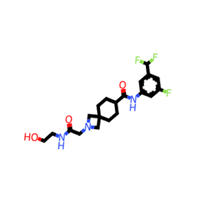 O=C(CN1CC2(CCC(C(=O)Nc3cc(F)cc(C(F)F)c3)CC2)C1)NCCO